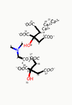 CN(C)CC(=O)O.O=C([O-])CC(O)(CC(=O)[O-])C(=O)[O-].O=C([O-])CC(O)(CC(=O)[O-])C(=O)[O-].[Ca+2].[Ca+2].[Ca+2]